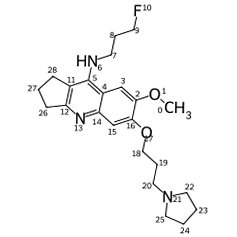 COc1cc2c(NCCCF)c3c(nc2cc1OCCCN1CCCC1)CCC3